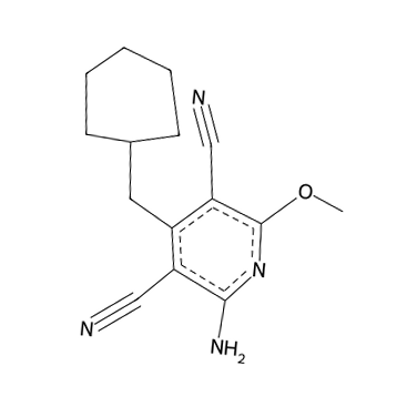 COc1nc(N)c(C#N)c(CC2CCCCC2)c1C#N